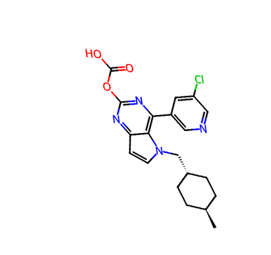 C[C@H]1CC[C@H](Cn2ccc3nc(OC(=O)O)nc(-c4cncc(Cl)c4)c32)CC1